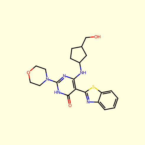 O=c1[nH]c(N2CCOCC2)nc(NC2CCC(CO)C2)c1-c1nc2ccccc2s1